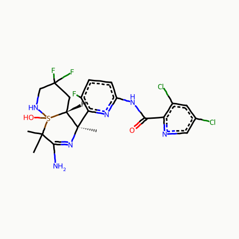 CC1(C)C(N)=N[C@](C)(c2nc(NC(=O)c3ncc(Cl)cc3Cl)ccc2F)[C@H]2CC(F)(F)CNS21O